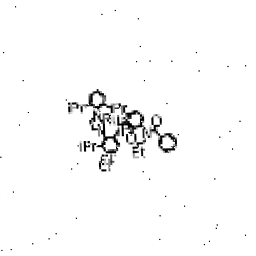 CCC1CN(C(=O)c2ccccc2)c2cccc(/[CH]=[Ru+2]/[CH]3N(c4c(C(C)C)cccc4C(C)C)CCN3c3c(C(C)C)cccc3C(C)C)c2O1.[Cl-].[Cl-]